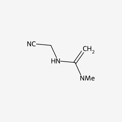 C=C(NC)NCC#N